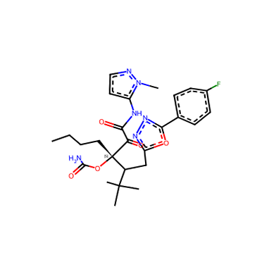 CCCC[C@@](OC(N)=O)(C(=O)C(=O)Nc1ccnn1C)C(Cc1nnc(-c2ccc(F)cc2)o1)C(C)(C)C